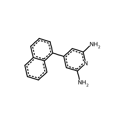 Nc1cc(-c2cccc3ccccc23)cc(N)n1